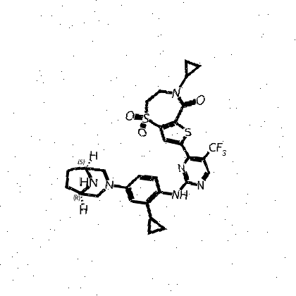 O=C1c2sc(-c3nc(Nc4ccc(N5C[C@H]6CC[C@@H](C5)N6)cc4C4CC4)ncc3C(F)(F)F)cc2S(=O)(=O)CCN1C1CC1